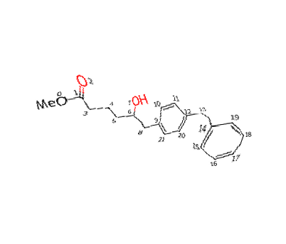 COC(=O)CCCC(O)Cc1ccc(Cc2ccccc2)cc1